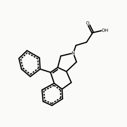 O=C(O)CCN1CC2=C(c3ccccc3)c3ccccc3CC2C1